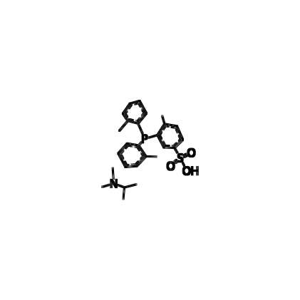 CC(C)N(C)C.Cc1ccccc1P(c1ccccc1C)c1cc(S(=O)(=O)O)ccc1C